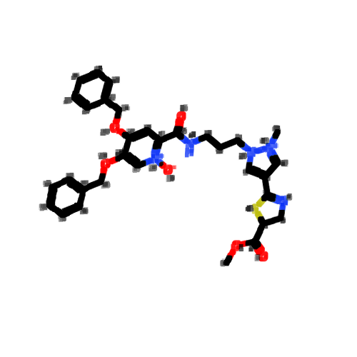 COC(=O)C1CN=C(c2cn(CCCNC(=O)c3cc(OCc4ccccc4)c(OCc4ccccc4)c[n+]3[O-])[n+](C)c2)S1